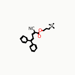 C[Si](C)(C)CCCOC(=O)/C(C#N)=C\C=C(c1ccccc1)c1ccccc1